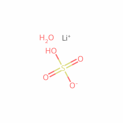 O.O=S(=O)([O-])O.[Li+]